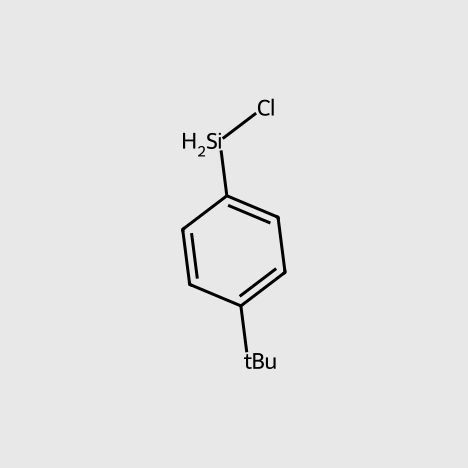 CC(C)(C)c1ccc([SiH2]Cl)cc1